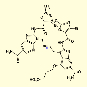 CCc1nc(C)oc1C(=O)Nc1nc2cc(C(N)=O)cnc2n1C/C=C/Cn1c(NC(=O)c2oc(C)nc2CC)nc2cc(C(N)=O)cc(OCCCC(=O)O)c21